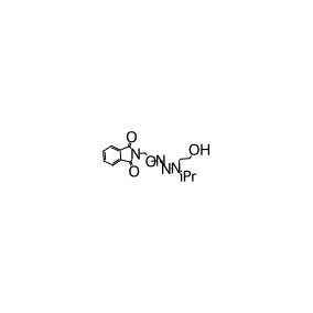 CC(C)N(CCO)/N=N/OCN1C(=O)c2ccccc2C1=O